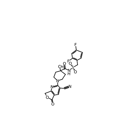 CC1(C(=O)NS(=O)(=O)Cc2ccc(F)cc2F)CCN(c2nc3c(cc2C#N)C(=O)OC3)CC1